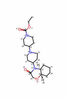 CCOC(=O)N1CCC(N2CCC(N3C(=O)CO[C@H]4CCCC[C@@H]43)CC2)CC1